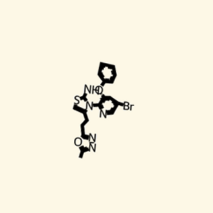 Cc1nnc(CCC2=CSC(N)N2c2ncc(Br)cc2Oc2ccccc2)o1